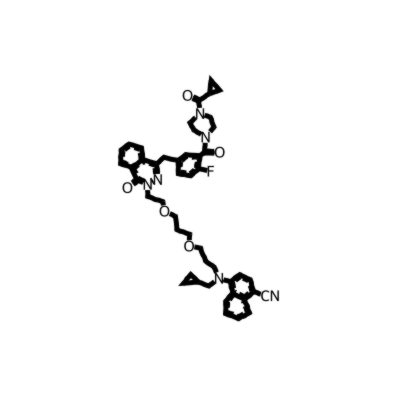 N#Cc1ccc(N(CCCOCCCOCCn2nc(Cc3ccc(F)c(C(=O)N4CCN(C(=O)C5CC5)CC4)c3)c3ccccc3c2=O)CC2CC2)c2ccccc12